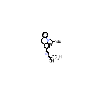 CCCCC(CC)CN1c2ccccc2CCc2cc(/C=C/C=C(/C#N)C(=O)O)ccc21